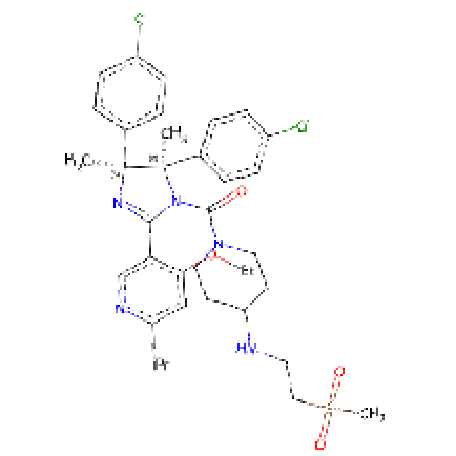 CCOc1cc(C(C)C)ncc1C1=N[C@@](C)(c2ccc(Cl)cc2)[C@@](C)(c2ccc(Cl)cc2)N1C(=O)N1CCC(NCCS(C)(=O)=O)CC1